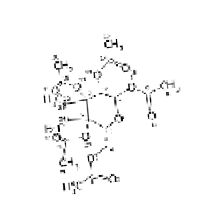 CC(=O)OC[C@H]1OC(OC(C)=O)[C@@H](OC(C)=O)[C@]2(OC(C)=O)[C@H](C)[C@@H](C)C12OC(C)=O